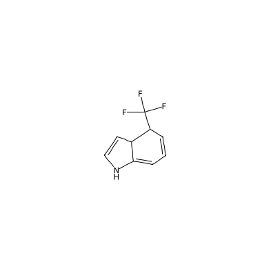 FC(F)(F)C1C=CC=C2NC=CC21